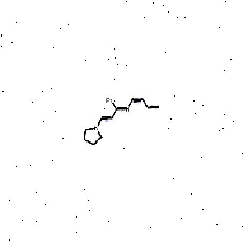 C=C\C=C/N=C(/C=C/N1CCCC1)C(C)C